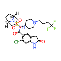 O=C1Cc2cc(C(=O)NC3C[C@H]4CC[C@@H](C3)N4S(=O)(=O)CC3CCN(CCCC(F)(F)F)CC3)c(Cl)cc2N1